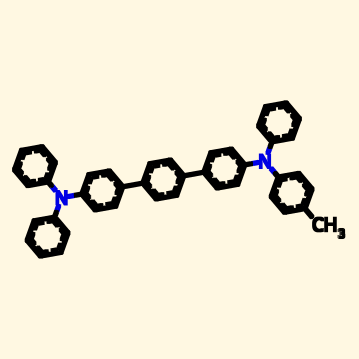 Cc1ccc(N(c2ccccc2)c2ccc(-c3ccc(-c4ccc(N(c5ccccc5)c5ccccc5)cc4)cc3)cc2)cc1